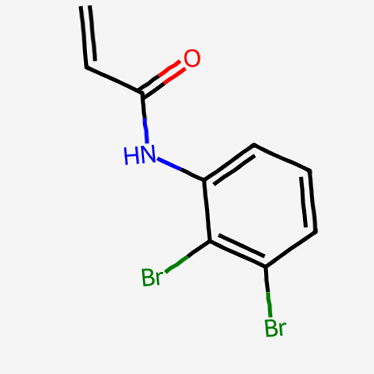 C=CC(=O)Nc1cccc(Br)c1Br